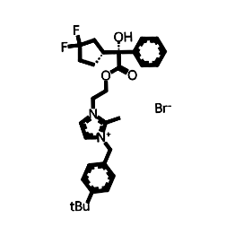 Cc1n(CCOC(=O)[C@](O)(c2ccccc2)[C@@H]2CCC(F)(F)C2)cc[n+]1Cc1ccc(C(C)(C)C)cc1.[Br-]